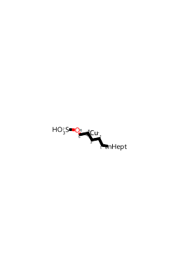 CCCCCCCCCCCCOS(=O)(=O)O.[Cu]